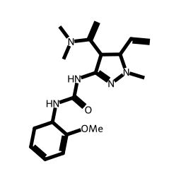 C=CC1C(C(=C)N(C)C)C(NC(=O)NC2CC=CC=C2OC)=NN1C